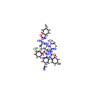 CC1=CCN=C(Nc2nc3ccc(F)cc3o2)N1C1NC(Nc2nc3ccc(F)cc3o2)=NC(c2ccccc2Cl)C1(C)C(=O)Nc1ccc(C#N)cn1